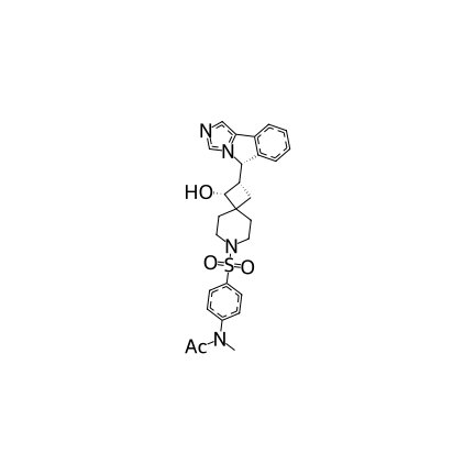 CC(=O)N(C)c1ccc(S(=O)(=O)N2CCC3(CC2)C[C@@H]([C@H]2c4ccccc4-c4cncn42)[C@H]3O)cc1